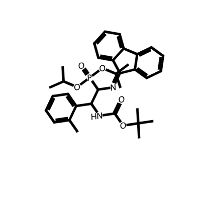 Cc1ccccc1C(NC(=O)OC(C)(C)C)C(N=C1c2ccccc2-c2ccccc21)P(=O)(OC(C)C)OC(C)C